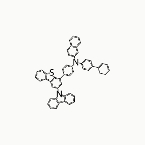 C1=CCCC(c2ccc(N(c3ccc(-c4cc(-n5c6ccccc6c6ccccc65)cc5c4sc4ccccc45)cc3)c3ccc4ccccc4c3)cc2)=C1